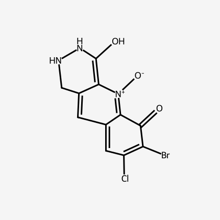 O=C1C(Br)=C(Cl)C=c2cc3c([n+]([O-])c21)=C(O)NNC3